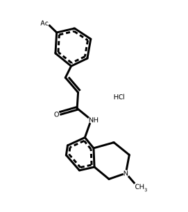 CC(=O)c1cccc(/C=C/C(=O)Nc2cccc3c2CCN(C)C3)c1.Cl